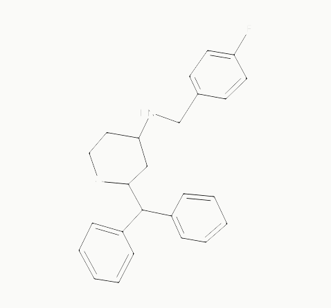 Fc1ccc(CNC2CCOC(C(c3ccccc3)c3ccccc3)C2)cc1